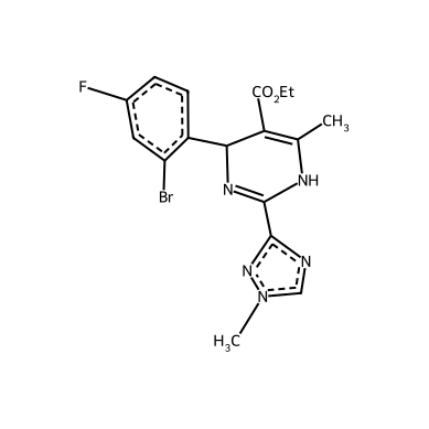 CCOC(=O)C1=C(C)NC(c2ncn(C)n2)=NC1c1ccc(F)cc1Br